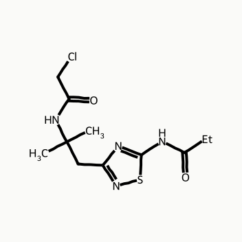 CCC(=O)Nc1nc(CC(C)(C)NC(=O)CCl)ns1